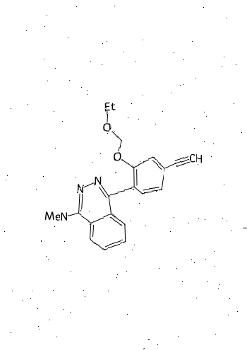 C#Cc1ccc(-c2nnc(NC)c3ccccc23)c(OCOCC)c1